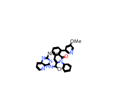 CNc1nc(NC(C)c2cc3cccc(-c4cncc(OC)c4)c3c(=O)n2-c2ccccc2)c2ncccc2n1